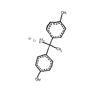 CC(C)(c1ccc(O)cc1)c1ccc(O)cc1.[Li].[Li]